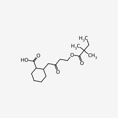 CCC(C)(C)C(=O)OCCC(=O)CC1CCCCC1C(=O)O